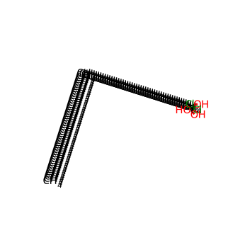 C.C.C.C.C.C.C.C.C.C.C.C.C.C.C.C.C.C.C.C.C.C.C.C.C.C.C.C.C.C.C.C.C.C.C.C.C.C.C.C.C.C.C.C.C.C.C.C.C.C.C.C.C.C.C.C.C.C.C.C.C.C.C.C.C.C.C.C.C.C.C.C.C.C.C.C.C.C.C.C.C.C.C.C.C.C.C.C.C.C.C.C.C.C.C.C.OCC(Cl)(CO)C(O)Cl